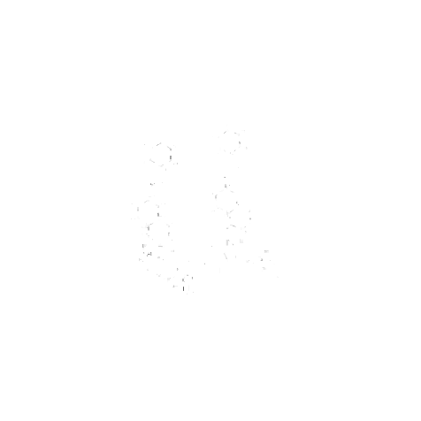 CC(C)(C)OC(=O)NC1(c2ccc3cc(OCc4ccccc4)ccc3c2)COC(C)(C)OC1.CC1(C)OCC(c2ccc3cc(OCc4ccccc4)ccc3c2)([N+](=O)[O-])CO1